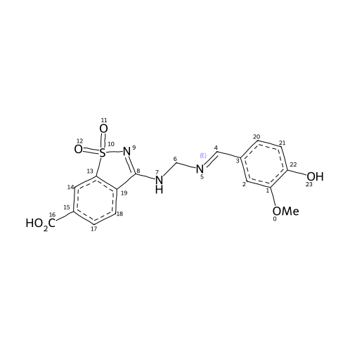 COc1cc(/C=N/CNC2=NS(=O)(=O)c3cc(C(=O)O)ccc32)ccc1O